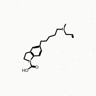 C=CCN(C)CCCCCc1ccc2c(c1)CCN2C(=O)O